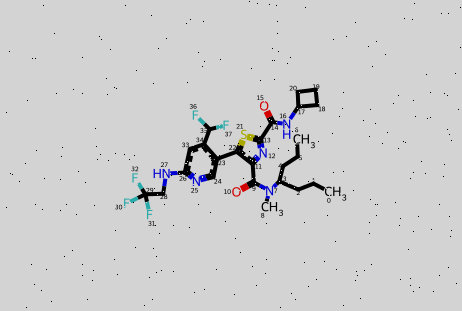 CCCC(CCC)N(C)C(=O)c1nc(C(=O)NC2CCC2)sc1-c1cnc(NCC(F)(F)F)cc1C(F)F